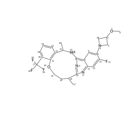 COC1CN(c2cc3c4nc(nc3cc2F)C(C)CCOc2c(cccc2C(F)(F)F)C(C)N4)C1